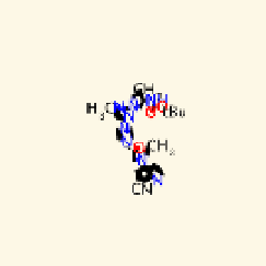 C=C1CN(c2nc(C)cc(N3CCN(C[C@H]4CN(c5ccc(C#N)c6ncccc56)C[C@@H](C)O4)CC3)n2)C[C@H]1NC(=O)OC(C)(C)C